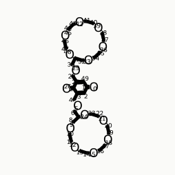 O=C1C=C(COCC2COCCOCCOCCOCCOCCO2)C(=O)C(COCC2COCCOCCOCCOCCOCCO2)=C1